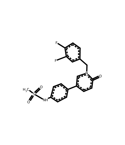 CS(=O)(=O)Nc1ccc(-c2ccc(=O)n(Cc3ccc(F)c(F)c3)c2)cc1